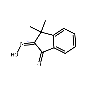 CC1(C)/C(=N/O)C(=O)c2ccccc21